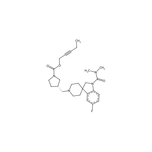 CCC#CCOC(=O)N1CC[C@@H](CN2CCC3(CC2)CN(C(=O)N(C)C)c2ccc(F)cc23)C1